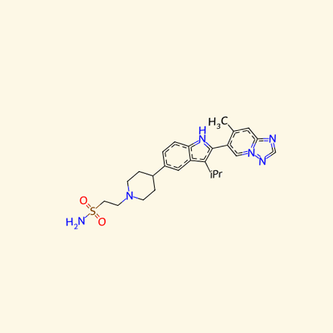 Cc1cc2ncnn2cc1-c1[nH]c2ccc(C3CCN(CCS(N)(=O)=O)CC3)cc2c1C(C)C